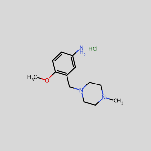 COc1ccc(N)cc1CN1CCN(C)CC1.Cl